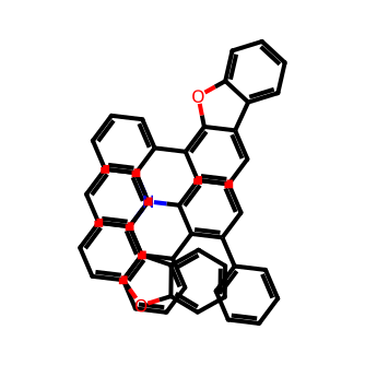 c1ccc(-c2ccccc2-c2c(-c3ccccc3)cccc2N(c2ccccc2-c2cccc3c2oc2ccccc23)c2cccc3oc4ccccc4c23)cc1